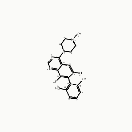 CC(C)N1CCN(c2ncnc3c(F)c(-c4c(O)cccc4F)c(Cl)cc23)CC1